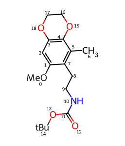 COc1cc2c(c(C)c1CCNC(=O)OC(C)(C)C)OCCO2